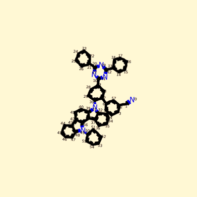 N#Cc1cccc(-c2cc(-c3nc(-c4ccccc4)nc(-c4ccccc4)n3)ccc2-n2c3ccccc3c3c2ccc2c4ccccc4n(-c4ccccc4)c23)c1